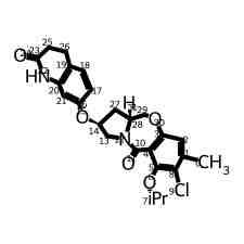 Cc1cc2c(c(OC(C)C)c1Cl)C(=O)N1C[C@@H](Oc3ccc4c(c3)NC(=O)CC4)C[C@@H]1CO2